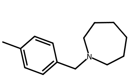 Cc1ccc(CN2CCCCCC2)cc1